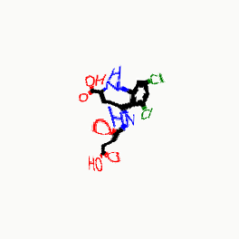 O=C(O)CCC(=O)NC1CC(C(=O)O)Nc2cc(Cl)cc(Cl)c21